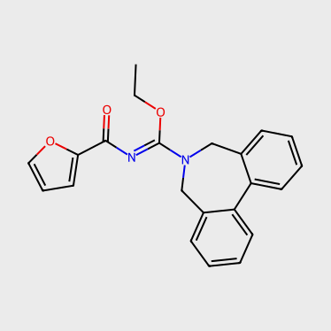 CCO/C(=N\C(=O)c1ccco1)N1Cc2ccccc2-c2ccccc2C1